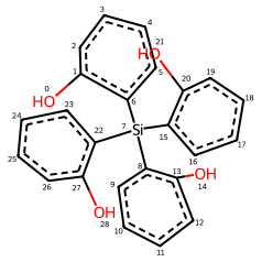 Oc1ccccc1[Si](c1ccccc1O)(c1ccccc1O)c1ccccc1O